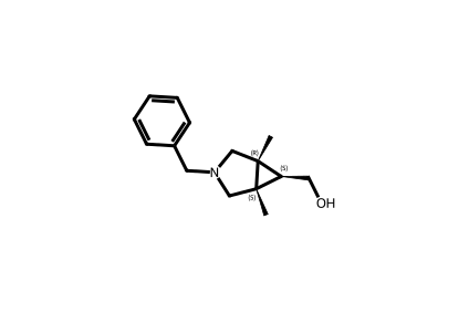 C[C@@]12CN(Cc3ccccc3)C[C@]1(C)[C@H]2CO